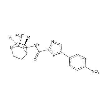 C[C@H]1[C@H](NC(=O)c2ncc(-c3ccc([N+](=O)[O-])cc3)s2)C2CCN1CC2